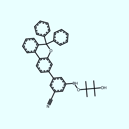 CC(C)(O)C(C)(C)OBc1cc(C#N)cc(-c2ccc3c(c2)OC(c2ccccc2)(c2ccccc2)c2ccccc2-3)c1